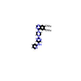 COc1cc2ncnc(N3CCN(c4ncc(Nc5ccccn5)cn4)CC3)c2cc1OC